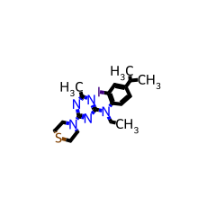 CCN(c1nc(C)nc(N2CCSCC2)n1)c1ccc(C(C)C)cc1I